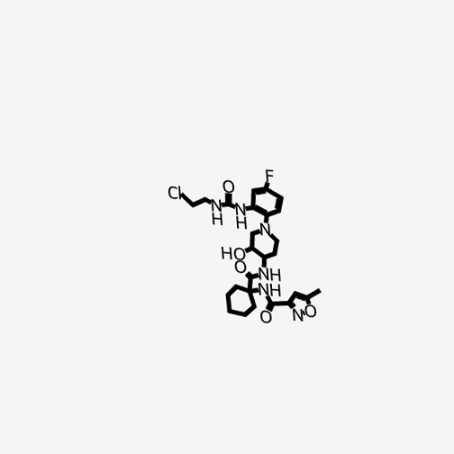 Cc1cc(C(=O)NC2(C(=O)NC3CCN(c4ccc(F)cc4NC(=O)NCCCl)CC3O)CCCCC2)no1